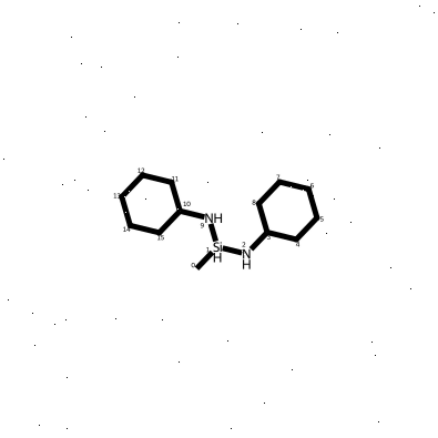 C[SiH](NC1CCCCC1)NC1CCCCC1